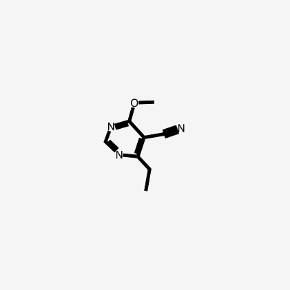 CCc1ncnc(OC)c1C#N